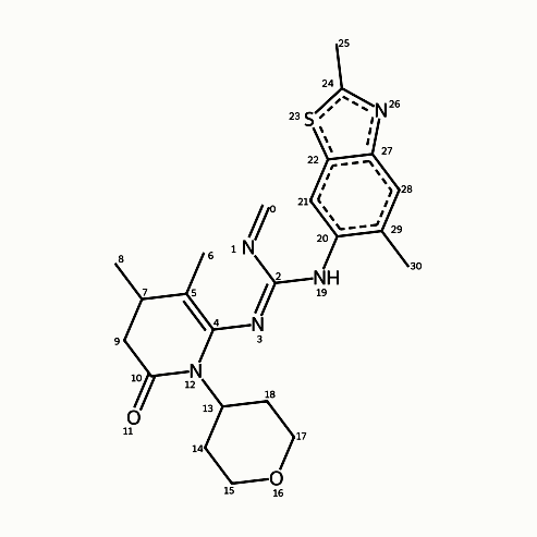 C=N/C(=N\C1=C(C)C(C)CC(=O)N1C1CCOCC1)Nc1cc2sc(C)nc2cc1C